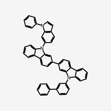 c1ccc(-c2cccc(-n3c4ccccc4c4ccc(-c5ccc6c7ccccc7n(-c7ccc8ccn(-c9ccccc9)c8c7)c6c5)cc43)c2)cc1